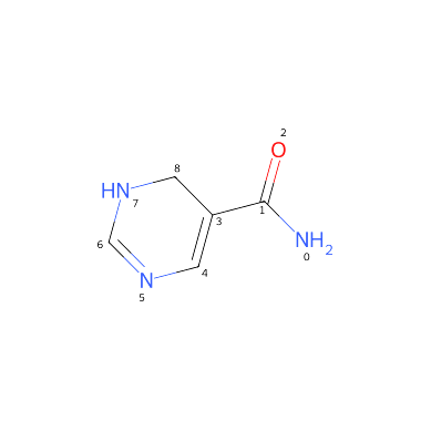 NC(=O)C1=CN=CNC1